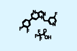 Fc1cncc(Cn2ncc3ncc(-c4ccc(F)c(F)c4)cc32)c1.O=C(O)C(F)(F)F